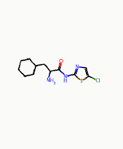 NC(CC1CCCCC1)C(=O)Nc1ncc(Cl)s1